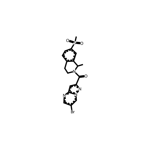 CC1c2cc(S(C)(=O)=O)ccc2CCN1C(=O)c1cc2ncc(Br)cn2n1